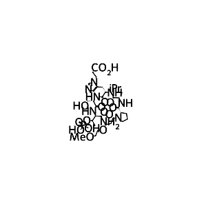 COCCOCCC(=O)N1CCC[C@H]1C(=O)N[C@@H](CC(C)C)C(=O)N[C@@H](Cc1cncn1CCC(=O)O)C(=O)N[C@@H](CO)C(=O)N[C@H](C(N)=O)[C@@H](C)OP(=O)(O)O